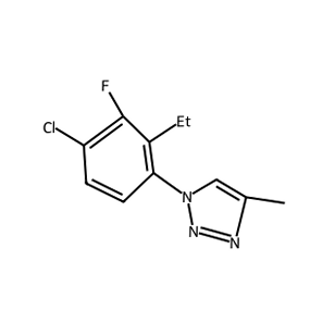 CCc1c(-n2cc(C)nn2)ccc(Cl)c1F